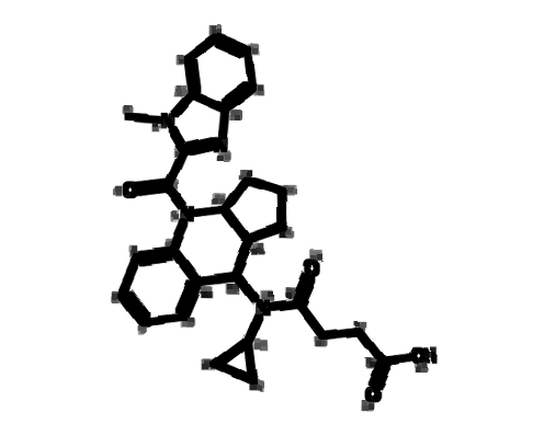 Cn1c(C(=O)N2c3ccccc3C(N(C(=O)CCC(=O)O)C3CC3)C3CCCC32)nc2ccccc21